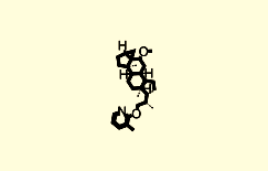 COC1C[C@H]2[C@@H]3CC[C@H]([C@H](C)COc4ncccc4C)[C@@]3(C)CC[C@@H]2[C@@]2(C)CC[C@@H]3CC132